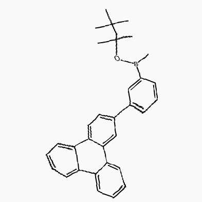 CB(OC(C)(C)C(C)(C)C)c1cccc(-c2ccc3c4ccccc4c4ccccc4c3c2)c1